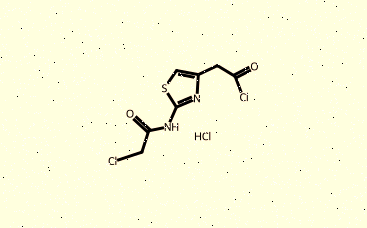 Cl.O=C(Cl)Cc1csc(NC(=O)CCl)n1